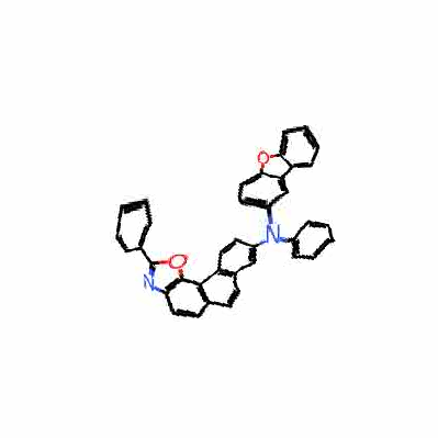 c1ccc(-c2nc3ccc4ccc5cc(N(c6ccccc6)c6ccc7oc8ccccc8c7c6)ccc5c4c3o2)cc1